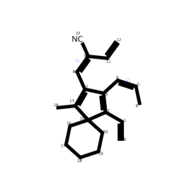 C=CC1=C(/C=C\C)C(/C=C(/C#N)C=C)=C(C)C12CCCCC2